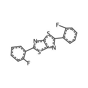 Fc1ccccc1-c1nc2sc(-c3ccccc3F)nc2s1